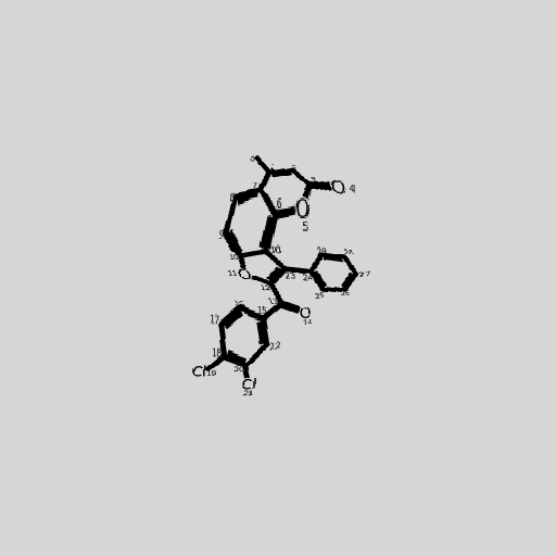 Cc1cc(=O)oc2c1ccc1oc(C(=O)c3ccc(Cl)c(Cl)c3)c(-c3ccccc3)c12